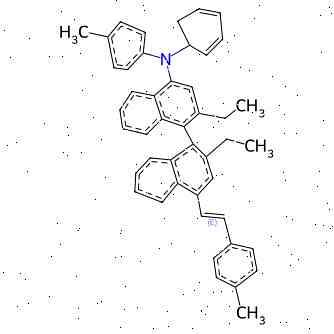 CCc1cc(/C=C/c2ccc(C)cc2)c2ccccc2c1-c1c(CC)cc(N(c2ccc(C)cc2)C2C=CC=CC2)c2ccccc12